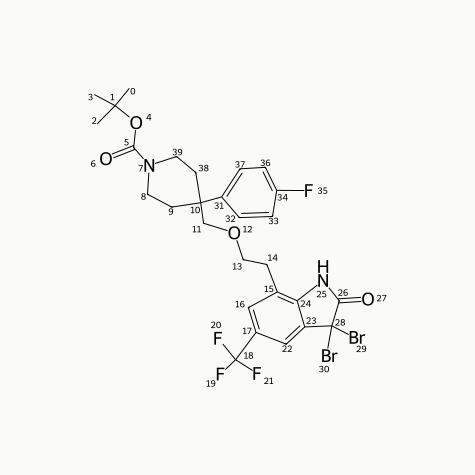 CC(C)(C)OC(=O)N1CCC(COCCc2cc(C(F)(F)F)cc3c2NC(=O)C3(Br)Br)(c2ccc(F)cc2)CC1